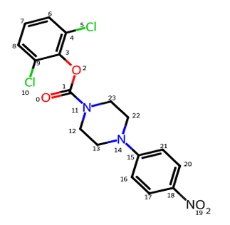 O=C(Oc1c(Cl)cccc1Cl)N1CCN(c2ccc([N+](=O)[O-])cc2)CC1